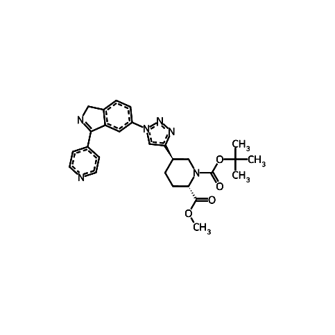 COC(=O)[C@@H]1CC[C@@H](c2cn(-c3ccc4c(c3)C(c3ccncc3)=NC4)nn2)CN1C(=O)OC(C)(C)C